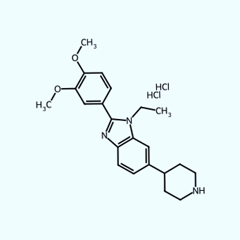 CCn1c(-c2ccc(OC)c(OC)c2)nc2ccc(C3CCNCC3)cc21.Cl.Cl